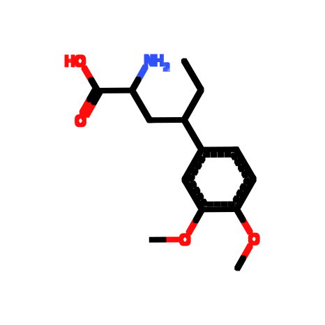 CCC(CC(N)C(=O)O)c1ccc(OC)c(OC)c1